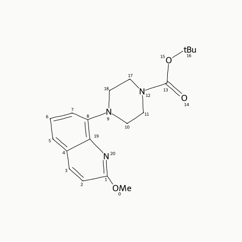 COc1ccc2cccc(N3CCN(C(=O)OC(C)(C)C)CC3)c2n1